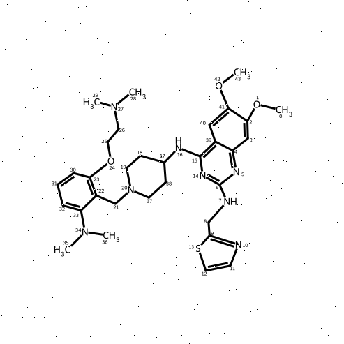 COc1cc2nc(NCc3nccs3)nc(NC3CCN(Cc4c(OCCN(C)C)cccc4N(C)C)CC3)c2cc1OC